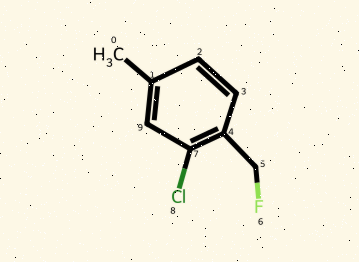 Cc1ccc(CF)c(Cl)c1